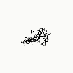 CC(C)C1=C2[C@H]3CC[C@@H]4[C@@]5(C)CC[C@H](OC(=O)CC(C)(C)C(=O)O)C(C)(C)[C@@H]5CC[C@@]4(C)[C@]3(C)CC[C@@]2(c2cc(=O)n(Cc3ccc(Cl)cc3)n2C)CC1